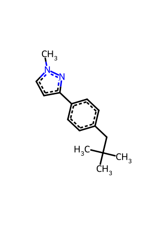 Cn1ccc(-c2ccc(CC(C)(C)C)cc2)n1